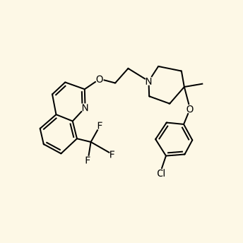 CC1(Oc2ccc(Cl)cc2)CCN(CCOc2ccc3cccc(C(F)(F)F)c3n2)CC1